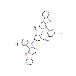 CC(C)(C)c1ccc2c(c1)c1c3oc4ccccc4c3ccc1n2-c1cc(C#N)c(-n2c3ccc(C(C)(C)C)cc3c3c4oc5ccccc5c4ccc32)c(C#N)c1